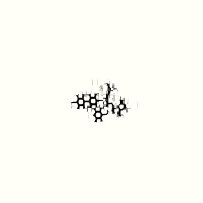 [2H]c1c([2H])c(CSc2nc(=O)c3c(n2CC(=O)N(C([2H])([2H])c2c([2H])c([2H])c(-c4c([2H])c([2H])c(C(F)(F)F)c([2H])c4[2H])c([2H])c2[2H])C([2H])([2H])C([2H])([2H])N(C([2H])([2H])C)C([2H])([2H])C)C([2H])([2H])C([2H])(C)C3([2H])[2H])c([2H])c([2H])c1F